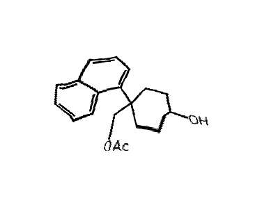 CC(=O)OCC1(c2cccc3ccccc23)CCC(O)CC1